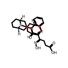 O=C(O)CC/C(=N\O)c1nc2ccccc2n(C2C[C@H]3CCC[C@@H](C2)N3C2C[C@H]3CCC[C@@H](C2)C3)c1=O